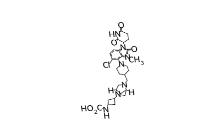 Cn1c(=O)n(C2CCC(=O)NC2=O)c2ccc(Cl)c(N3CCC(CN4C[C@@H]5C[C@H]4CN5C4CC(NC(=O)O)C4)CC3)c21